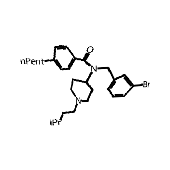 CCCCCc1ccc(C(=O)N(Cc2cccc(Br)c2)C2CCN(CCC(C)C)CC2)cc1